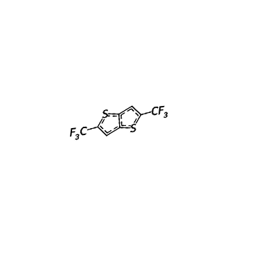 FC(F)(F)c1cc2sc(C(F)(F)F)cc2s1